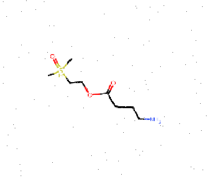 C[SH](C)(=O)CCOC(=O)CCCN